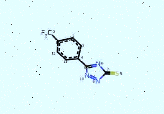 FC(F)(F)c1ccc(C2=NC(=S)N=N2)cc1